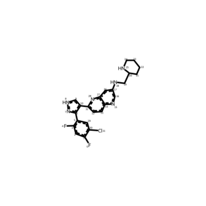 Fc1cc(F)c(-c2n[nH]cc2-c2ccc3ncc(NCC4CCCCN4)cc3n2)cc1Cl